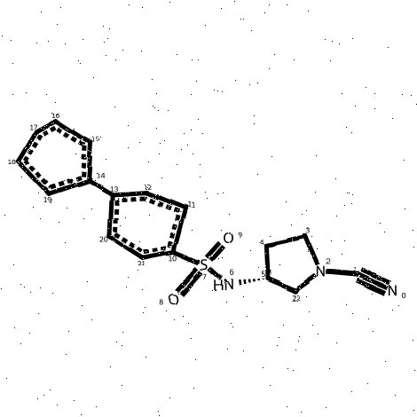 N#CN1CC[C@@H](NS(=O)(=O)c2ccc(-c3ccccc3)cc2)C1